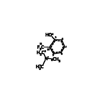 CN(C)C.Oc1ccccc1C(F)(F)F